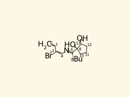 C=C/C(Br)=C\N=C(/[C@H](C)CC)C1(O)CCCC1O